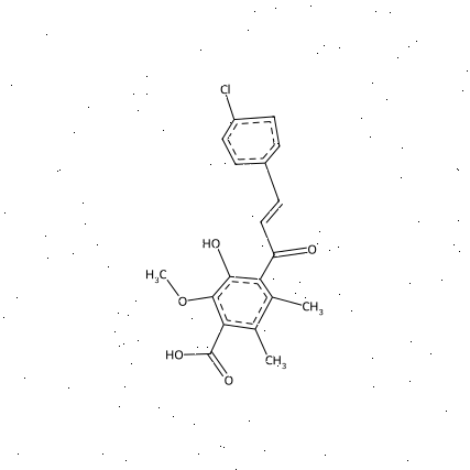 COc1c(O)c(C(=O)C=Cc2ccc(Cl)cc2)c(C)c(C)c1C(=O)O